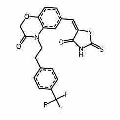 O=C1NC(=S)SC1=Cc1ccc2c(c1)N(CCc1ccc(C(F)(F)F)cc1)C(=O)CO2